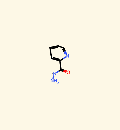 N[N]C(=O)c1ccccn1